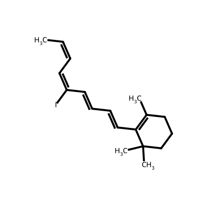 C/C=C\C=C(\I)C=CC=CC1=C(C)CCCC1(C)C